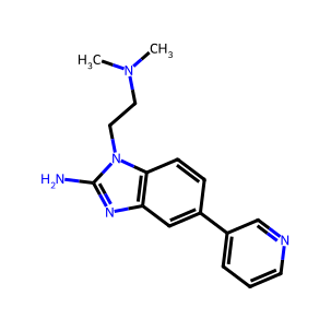 CN(C)CCn1c(N)nc2cc(-c3cccnc3)ccc21